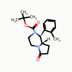 Cc1ccccc1[C@H]1[C@@H]2CCC(=O)N2CCN1C(=O)OC(C)(C)C